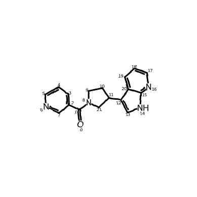 O=C(c1cccnc1)N1CCC(c2c[nH]c3ncccc23)C1